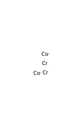 [Co].[Co].[Cr].[Cr]